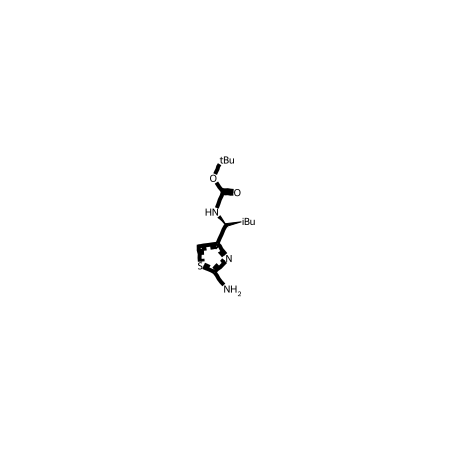 CC[C@H](C)[C@H](NC(=O)OC(C)(C)C)c1csc(N)n1